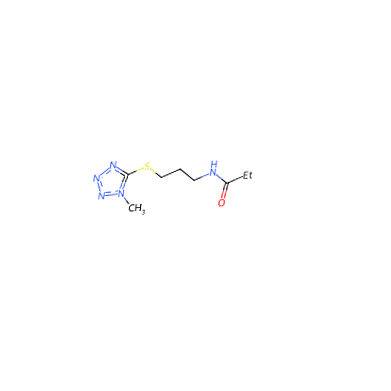 CCC(=O)NCCCSc1nnnn1C